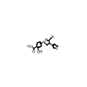 N#CC1=NN(c2ccc(C(=O)O)c(O)c2)CC1c1ccsc1